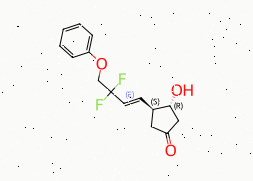 O=C1C[C@@H](O)[C@H](/C=C/C(F)(F)COc2ccccc2)C1